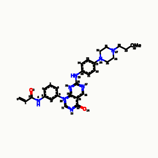 C=CC(=O)Nc1cccc(-n2cnc(=O)c3cnc(Nc4ccc(N5CCN(CCOC)CC5)cc4)nc32)c1